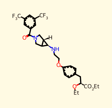 CCOC(=O)[C@H](Cc1ccc(OCCN[C@H]2C3CN(C(=O)c4cc(C(F)(F)F)cc(C(F)(F)F)c4)C[C@@H]32)cc1)OCC